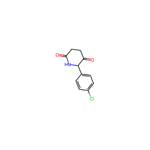 O=C1CCC(=O)C(c2ccc(Cl)cc2)N1